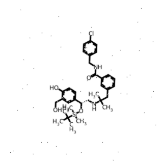 CC(C)(Cc1cccc(C(=O)NCc2ccc(Cl)cc2)c1)NC[C@H](O[Si](C)(C)C(C)(C)C)c1ccc(O)c(CO)c1